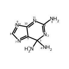 NC1=NC(N)(N)C2=NC=[N+]C2=N1